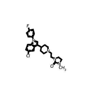 CN1CCN(CCN2CCC(c3cn(-c4ccc(F)cc4)c4ccc(Cl)cc34)CC2)C1=O